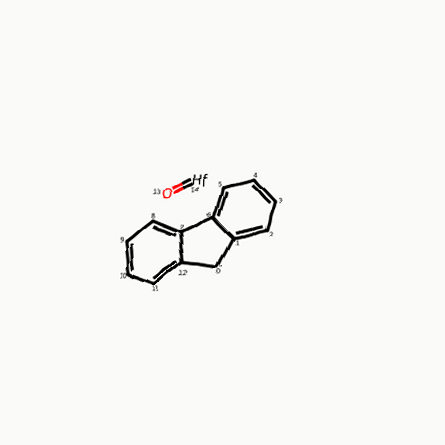 [CH]1c2ccccc2-c2ccccc21.[O]=[Hf]